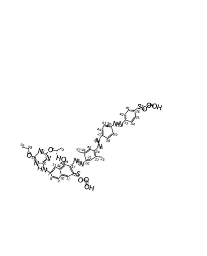 CCOc1nc(Nc2ccc3cc(SOOO)c(N=Nc4cc(C)c(N=Nc5ccc(N=Nc6ccc(SOOO)cc6)cc5)cc4C)c(O)c3c2)nc(OCC)n1